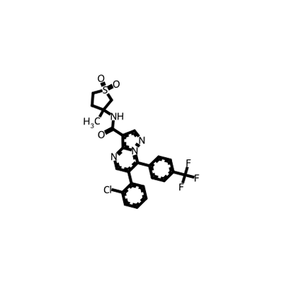 CC1(NC(=O)c2cnn3c(-c4ccc(C(F)(F)F)cc4)c(-c4ccccc4Cl)cnc23)CCS(=O)(=O)C1